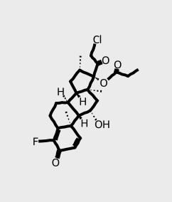 CCC(=O)O[C@@]1(C(=O)CCl)[C@@H](C)C[C@H]2[C@@H]3CCC4=C(F)C(=O)C=C[C@]4(C)[C@H]3[C@@H](O)C[C@@]21C